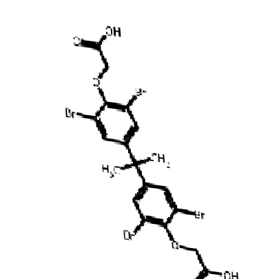 CC(C)(c1cc(Br)c(OCC(=O)O)c(Br)c1)c1cc(Br)c(OCC(=O)O)c(Br)c1